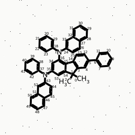 CC1(C)c2cc(-c3ccccc3)ccc2-c2c(N(c3ccccc3)c3ccc4ccccc4c3)cc(N(c3ccccc3)c3ccc4ccccc4c3)cc21